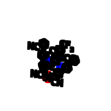 N#Cc1ccccc1-c1ccc2c3ccc(-c4ccccc4C#N)cc3n(-c3cc(-c4ccc(C(F)(F)F)cc4C(F)(F)F)cc(-n4c5cc(-c6ccccc6C#N)ccc5c5ccc(-c6ccccc6C#N)cc54)c3C#N)c2c1